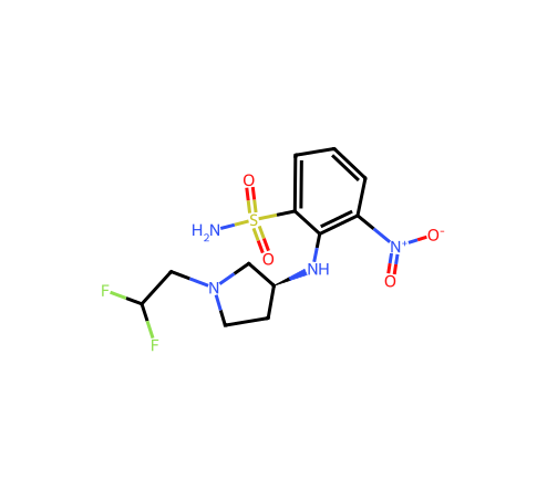 NS(=O)(=O)c1cccc([N+](=O)[O-])c1N[C@H]1CCN(CC(F)F)C1